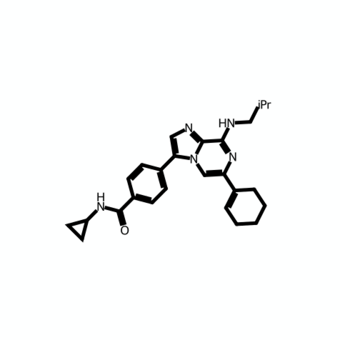 CC(C)CNc1nc(C2=CCCCC2)cn2c(-c3ccc(C(=O)NC4CC4)cc3)cnc12